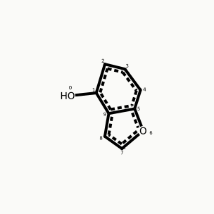 Oc1cccc2o[c]cc12